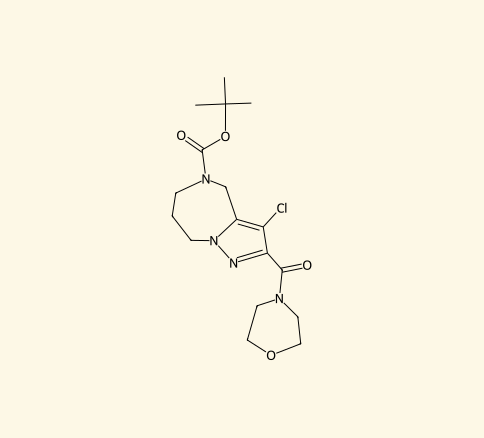 CC(C)(C)OC(=O)N1CCCn2nc(C(=O)N3CCOCC3)c(Cl)c2C1